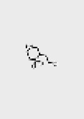 O=S1(=O)CCNCC1CCCl